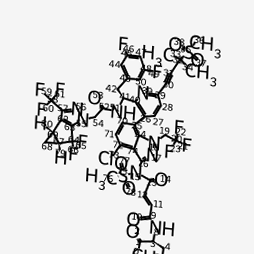 CC(=O)[C@H](CC(=O)O)NC(=O)/C=C/C(=O)N(c1nn(CC(F)(F)F)c2c(-c3ccc(C#CC(C)(C)S(C)(=O)=O)nc3[C@H](Cc3cc(F)cc(F)c3)NC(=O)Cn3nc(C(F)(F)F)c4c3C(F)(F)[C@@H]3C[C@H]43)ccc(Cl)c12)S(C)(=O)=O